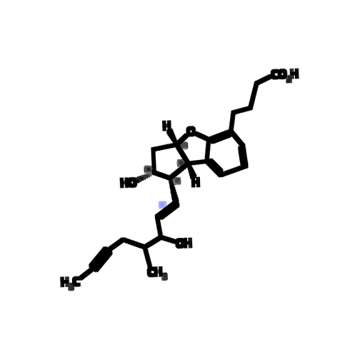 CC#CCC(C)C(O)/C=C/[C@@H]1[C@H]2c3cccc(CCCC(=O)O)c3O[C@H]2C[C@H]1O